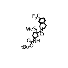 CSC[C@]1(C(=O)N2CCc3ccc(C(F)(F)F)cc3C2)CC[C@@H](NC(=O)OC(C)(C)C)C1